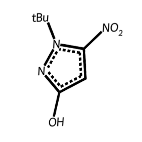 CC(C)(C)n1nc(O)cc1[N+](=O)[O-]